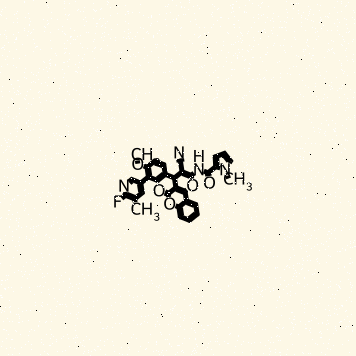 COc1ccc(C2C(C#N)=C(NC(=O)c3cccn3C)Oc3c2c(=O)oc2ccccc32)cc1-c1cnc(F)c(C)c1